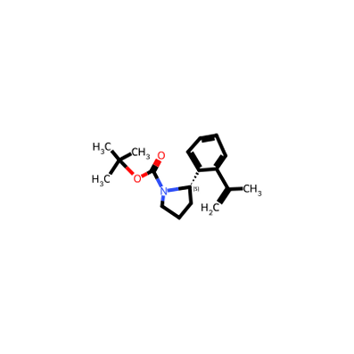 C=C(C)c1ccccc1[C@@H]1CCCN1C(=O)OC(C)(C)C